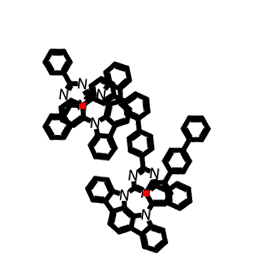 C1=C(c2ccc(-c3ccccc3)cc2)CCC(n2c3ccccc3c3ccc4c5ccccc5n(-c5nc(-c6ccccc6)nc(-c6ccc(-c7cccc(-c8cccc(-c9ccccc9-n9c%10ccccc%10c%10ccc%11c%12ccccc%12n(-c%12nc(-c%13ccccc%13)nc(-c%13ccccc%13)n%12)c%11c%109)c8)c7)cc6)n5)c4c32)=C1